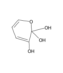 OC1=CC=COC1(O)O